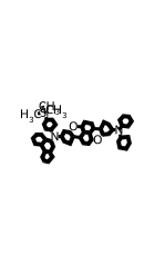 C[Si](C)(C)c1ccc(N(c2ccc3c(c2)Oc2ccc4c5c(ccc-3c25)Oc2cc(N(c3ccccc3)c3ccccc3)ccc2-4)c2cc3ccccc3c3ccccc23)cc1